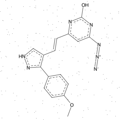 COc1ccc(-c2n[nH]cc2/C=C/c2cc(N=[N+]=[N-])nc(O)n2)cc1